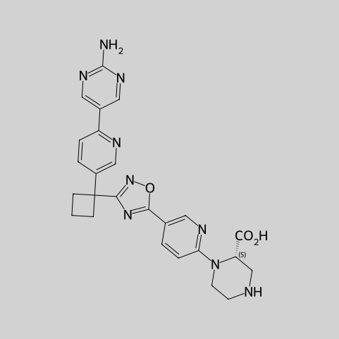 Nc1ncc(-c2ccc(C3(c4noc(-c5ccc(N6CCNC[C@H]6C(=O)O)nc5)n4)CCC3)cn2)cn1